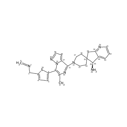 C=NCc1ccc(-c2c(C)nc(N3CCC4(CC3)Cc3ncccc3[C@H]4N)c3ccnn23)s1